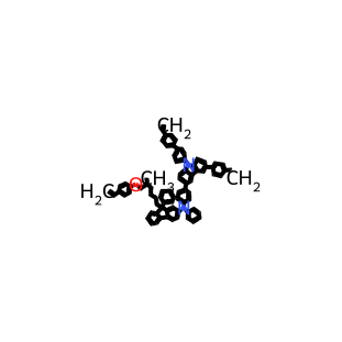 C=Cc1ccc(OCC(C)CCCCC2(c3ccccc3)c3ccccc3-c3ccc(N(c4ccccc4)c4ccc(-c5ccc6c(c5)c5cc(-c7ccc(C=C)cc7)ccc5n6-c5ccc(-c6ccc(C=C)cc6)cc5)cc4)cc32)cc1